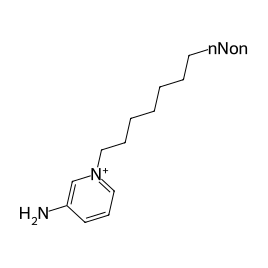 CCCCCCCCCCCCCCCC[n+]1cccc(N)c1